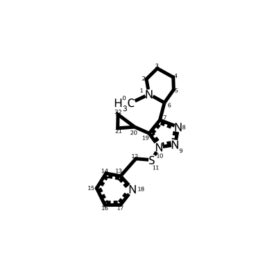 CN1CCCCC1c1nnn(SCc2ccccn2)c1C1CC1